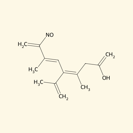 C=C(O)C/C(C)=C(\C=C(/C)C(=C)N=O)C(=C)C